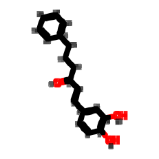 O=C(/C=C/c1ccc(O)c(O)c1)CCCc1ccccc1